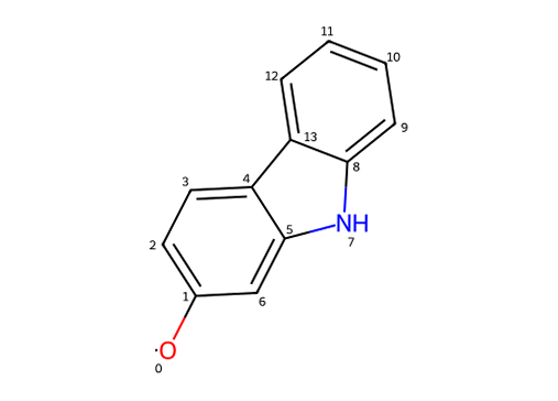 [O]c1ccc2c(c1)[nH]c1ccccc12